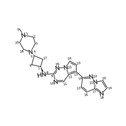 CN1CCN([C@H]2C[C@H](Nc3ncc4c(-c5ccc6nccn6n5)ccn4n3)C2)CC1